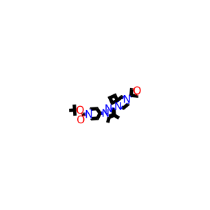 Cc1c(N2CCN(C3COC3)CC23CCC3)nn(C2CCN(C(=O)OC(C)(C)C)CC2)c1C